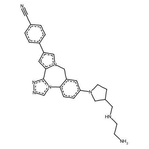 N#Cc1ccc(-c2cc3n(c2)Cc2cc(N4CCC(CNCCN)C4)ccc2-n2cnnc2-3)cc1